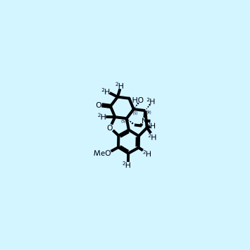 [2H]c1c([2H])c2c3c(c1OC)OC1([2H])C(=O)C([2H])([2H])C[C@]4(O)[C@@]31CCN(C)[C@]4([2H])C2([2H])[2H]